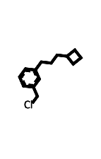 ClCc1cccc(CCCC2CCC2)c1